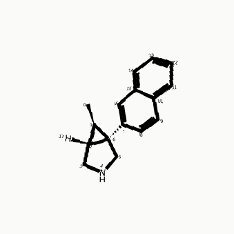 C[C@@H]1[C@H]2CNC[C@]12c1ccc2ccccc2c1